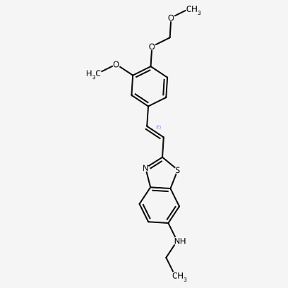 CCNc1ccc2nc(/C=C/c3ccc(OCOC)c(OC)c3)sc2c1